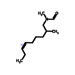 CC/C=C\CCCC(C)CN(C)C=O